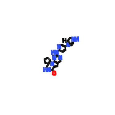 O=C1NCC2(CCCC2)n2c1cc1cnc(Nc3ccc(N4CC5C[C@@H]4CN5)cn3)nc12